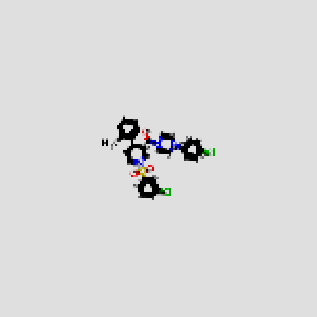 Cc1ccccc1[C@@H]1CCN(S(=O)(=O)c2cccc(Cl)c2)C[C@H]1C(=O)N1CCN(c2ccc(Cl)cc2)CC1